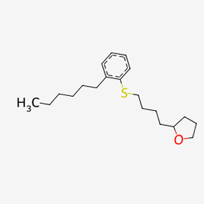 CCCCCCc1ccccc1SCCCCC1CCCO1